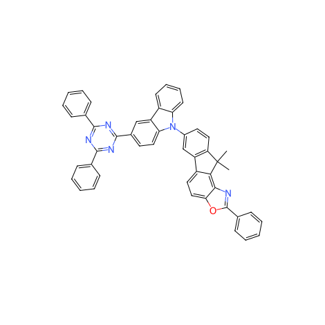 CC1(C)c2ccc(-n3c4ccccc4c4cc(-c5nc(-c6ccccc6)nc(-c6ccccc6)n5)ccc43)cc2-c2ccc3oc(-c4ccccc4)nc3c21